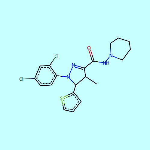 CC1C(C(=O)NN2CCCCC2)=NN(c2ccc(Cl)cc2Cl)C1c1cccs1